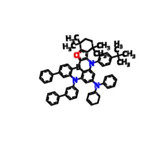 CC(C)(C)c1ccc(N2c3cc(N(C4=CC=CCC4)c4ccccc4)cc4c3B(c3ccc(-c5ccccc5)cc3N4c3cccc(-c4ccccc4)c3)c3oc4c(c32)C(C)(C)CCC4(C)C)cc1